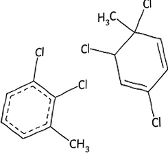 CC1(Cl)C=CC(Cl)=CC1Cl.Cc1cccc(Cl)c1Cl